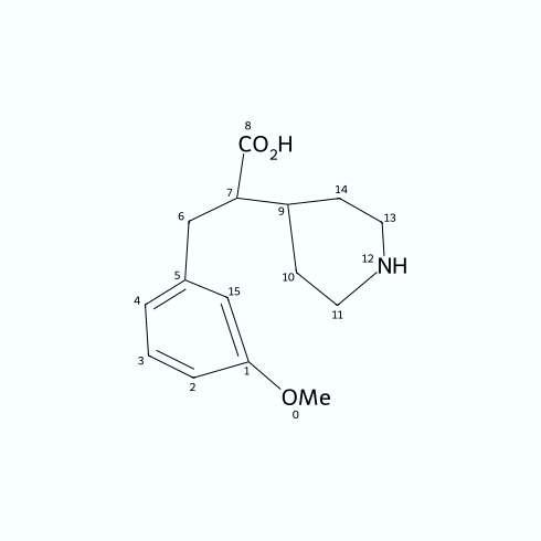 COc1cccc(CC(C(=O)O)C2CCNCC2)c1